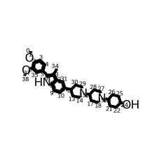 COc1ccc(-c2[nH]c3ccc(C4CCN(C5CCN(C6CCC(O)CC6)CC5)CC4)cc3c2C)cc1OC